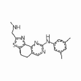 CNCc1nc2c(s1)CCc1cnc(Nc3cc(C)cc(C)c3)nc1-2